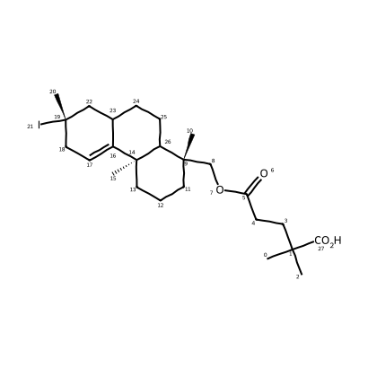 CC(C)(CCC(=O)OC[C@]1(C)CCC[C@@]2(C)C3=CC[C@](C)(I)CC3CCC12)C(=O)O